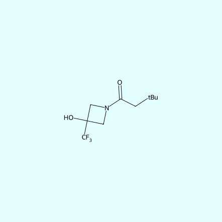 CC(C)(C)CC(=O)N1CC(O)(C(F)(F)F)C1